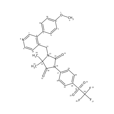 COc1ccc(-c2cnccc2CN2C(=O)N(c3ccc(S(=O)(=O)C(F)(F)F)cc3)C(=O)C2(C)C)cc1